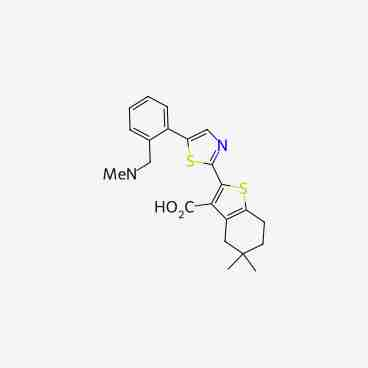 CNCc1ccccc1-c1cnc(-c2sc3c(c2C(=O)O)CC(C)(C)CC3)s1